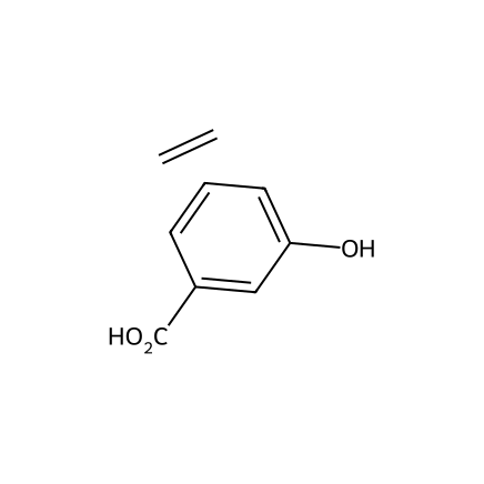 C=C.O=C(O)c1cccc(O)c1